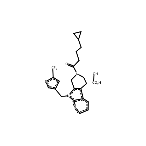 O=C(CCCC1CC1)N1CCc2c(n(Cc3csc(C(F)(F)F)c3)c3ncccc23)C1.O=C(O)O